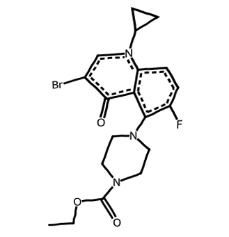 CCOC(=O)N1CCN(c2c(F)ccc3c2c(=O)c(Br)cn3C2CC2)CC1